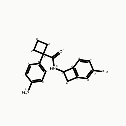 Nc1ccc(C2(C(=O)NC3Cc4cc(F)ccc43)CCC2)cc1